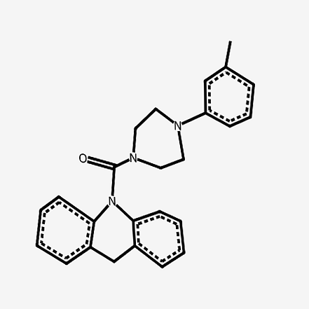 Cc1cccc(N2CCN(C(=O)N3c4ccccc4Cc4ccccc43)CC2)c1